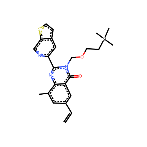 C=Cc1cc(C)c2nc(-c3cc4ccsc4cn3)n(COCC[Si](C)(C)C)c(=O)c2c1